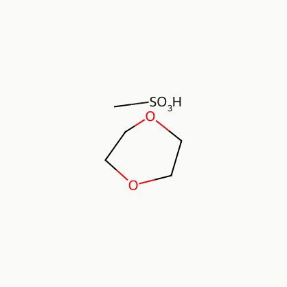 C1COCCO1.CS(=O)(=O)O